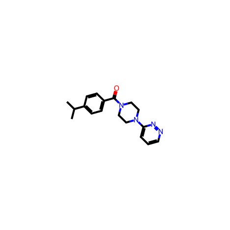 CC(C)c1ccc(C(=O)N2CCN(c3cccnn3)CC2)cc1